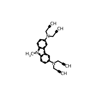 C#CCN(CC#C)c1ccc2c(c1)c1cc(N(CC#C)CC#C)ccc1n2C